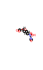 C[C@]12CC[C@H](N(CCN3CCOCC3)C(=O)O)C[C@H]1CC[C@@H]1[C@@H]2CC[C@]2(C)[C@@H](c3ccc(=O)oc3)C[C@H]3O[C@]132